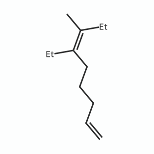 C=CCCC/C(CC)=C(/C)CC